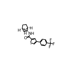 O=C(N[C@@H]1C[C@H]2CC[C@@H]1N2)c1cc(-c2ccc(C(F)(F)F)cc2)cs1